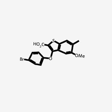 COc1cc2c(Oc3ccc(Br)cc3)c(C(=O)O)sc2cc1C